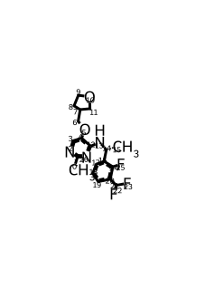 Cc1ncc(OCC2CCOC2)c(N[C@H](C)c2cccc(C(F)F)c2F)n1